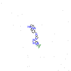 CNc1cc2ccc(CN3CC4(CCN(c5ncnc6nn(CC(F)(F)F)cc56)C4)C3)cc2[nH]1